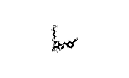 N#Cc1cccc(Cn2cnc3c(N)nc(OCCCCO)nc32)c1